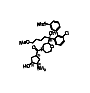 COCCCC[C@@](O)(c1cccc(Cl)c1-c1cccc(SC)c1)C1CN(C(=O)[C@H]2C[C@@H](N)[C@@H](O)C2)CCO1